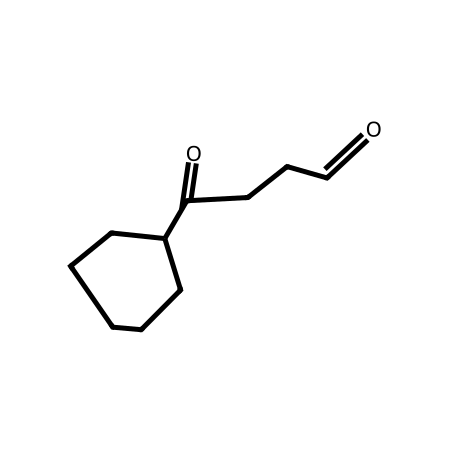 O=CCCC(=O)C1CCCCC1